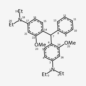 CCN(CC)c1ccc(C(c2ccccc2)c2ccc(N(CC)CC)cc2OC)c(OC)c1